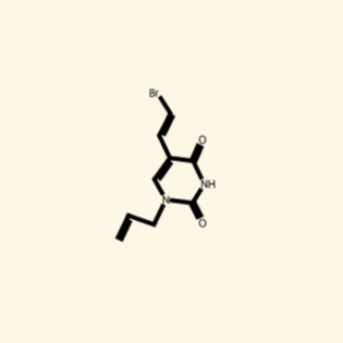 C=CCn1cc(C=CBr)c(=O)[nH]c1=O